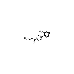 NCCC(=O)N1CCN(c2ccncc2N)CC1